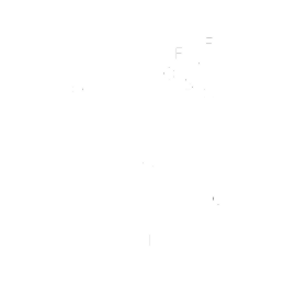 O=S(=O)(c1ccc(Oc2cc(F)cc(Cl)c2)c(CCCO)c1)C(F)(F)F